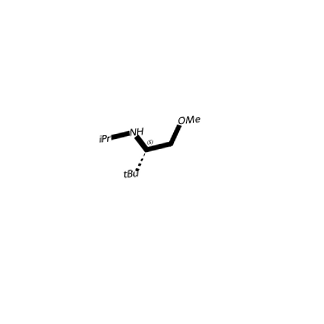 COC[C@@H](NC(C)C)C(C)(C)C